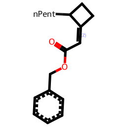 CCCCCC1CC/C1=C/C(=O)OCc1ccccc1